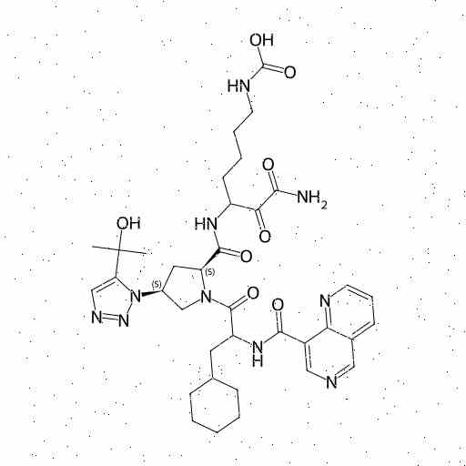 CC(C)(O)c1cnnn1[C@H]1C[C@@H](C(=O)NC(CCCCNC(=O)O)C(=O)C(N)=O)N(C(=O)C(CC2CCCCC2)NC(=O)c2cncc3cccnc23)C1